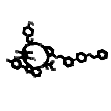 Cc1c(Cl)c2c(Cl)c(C)c1-c1c(-c3ccc(F)cc3)sc3ncnc(c13)O[C@@H](C(=O)O)Cc1cc(ccc1OCc1ccnc([C@H]3CC[C@H](OCc4cccnc4)CC3)n1)OC[C@@H](CN1CCN(C)CC1)O2